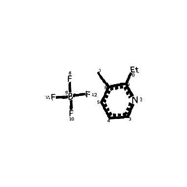 CCc1ncccc1C.F[B-](F)(F)F